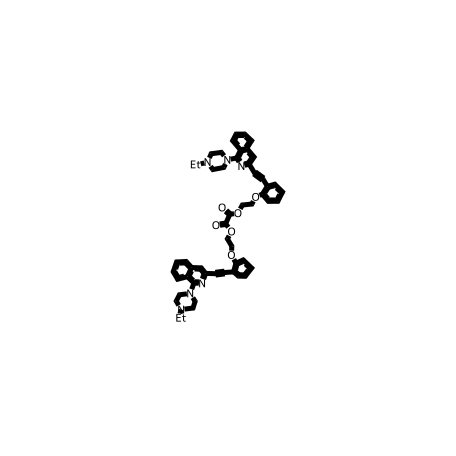 CCN1CCN(c2nc(C#Cc3ccccc3OCCOC(=O)C(=O)OCCOc3ccccc3C#Cc3cc4ccccc4c(N4CCN(CC)CC4)n3)cc3ccccc23)CC1